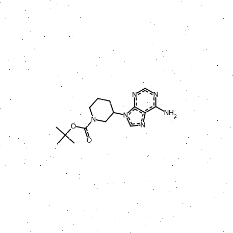 CC(C)(C)OC(=O)N1CCCC(n2cnc3c(N)ncnc32)C1